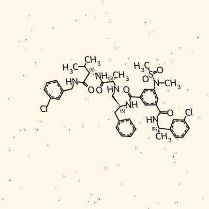 CC(C)[C@H](NC(=O)[C@H](C)NC[C@H](Cc1ccccc1)NC(=O)c1cc(C(=O)N[C@H](C)c2cccc(Cl)c2)cc(N(C)S(C)(=O)=O)c1)C(=O)NCc1cccc(Cl)c1